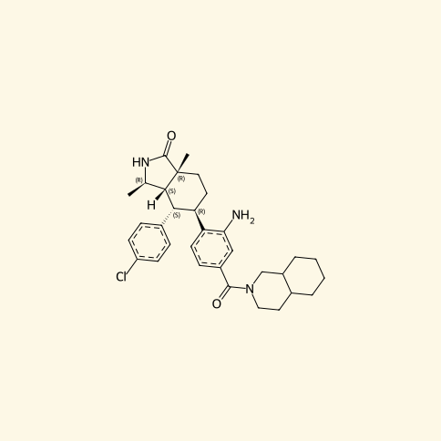 C[C@H]1NC(=O)[C@]2(C)CC[C@@H](c3ccc(C(=O)N4CCC5CCCCC5C4)cc3N)[C@H](c3ccc(Cl)cc3)[C@H]12